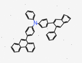 c1ccc(-c2cc3ccccc3cc2-c2ccc(N(c3ccccc3)c3ccc(-c4cc5ccccc5c5ccccc45)cc3)cc2)cc1